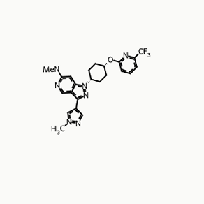 CNc1cc2c(cn1)c(-c1cnn(C)c1)nn2[C@H]1CC[C@@H](Oc2cccc(C(F)(F)F)n2)CC1